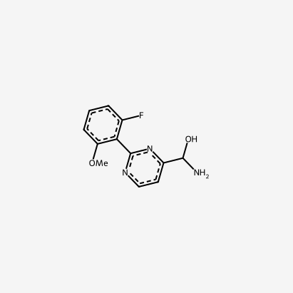 COc1cccc(F)c1-c1nccc(C(N)O)n1